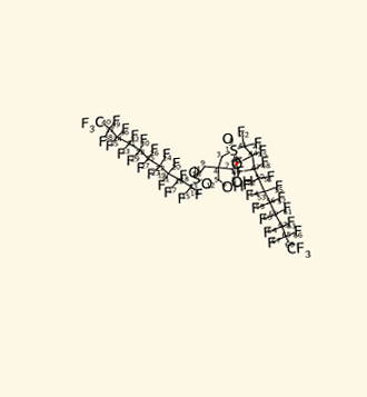 O=S(=O)(CC(CO)(CO)CS(=O)(=O)C(F)(F)C(F)(F)C(F)(F)C(F)(F)C(F)(F)C(F)(F)C(F)(F)C(F)(F)C(F)(F)C(F)(F)F)C(F)(F)C(F)(F)C(F)(F)C(F)(F)C(F)(F)C(F)(F)C(F)(F)C(F)(F)C(F)(F)C(F)(F)F